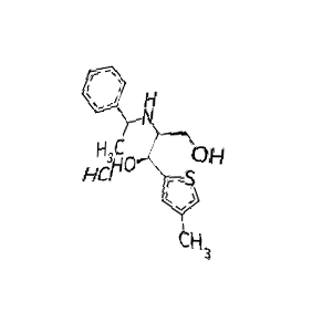 Cc1csc([C@@H](O)[C@H](CO)NC(C)c2ccccc2)c1.Cl